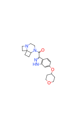 O=C(c1n[nH]c2cc(OC3CCOCC3)ccc12)N1CCN2CCC23CCC13